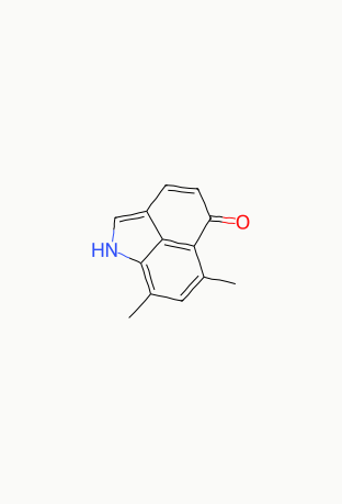 Cc1cc(C)c2[nH]cc3c2c1C(=O)C=C3